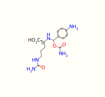 NC(=O)NCCC[C@H](NC(OC(N)=O)c1ccc(N)cc1)C(=O)O